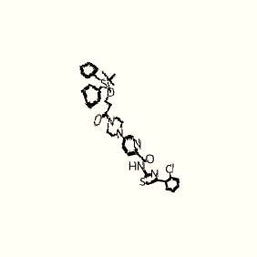 CC(C)(C)[Si](OCCC(=O)N1CCN(c2ccc(C(=O)Nc3nc(-c4ccccc4Cl)cs3)nc2)CC1)(c1ccccc1)c1ccccc1